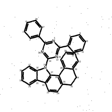 c1ccc(-c2nc(-c3ccccc3)nc(-n3c4ccccc4c4ccc5c(c43)-c3ccccc3CC5)n2)cc1